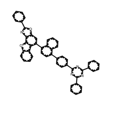 c1ccc(-c2nc(-c3ccccc3)nc(-c3ccc(-c4ccc(-c5cc6oc(-c7ccccc7)nc6c6oc7ccccc7c56)c5ccccc45)cc3)n2)cc1